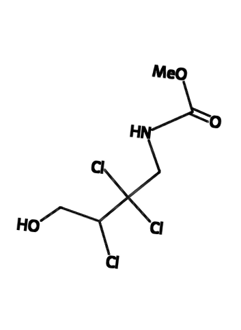 COC(=O)NCC(Cl)(Cl)C(Cl)CO